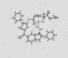 COC(=O)Cc1cc(C(=O)c2ccc3cc(-c4ccccc4)n(CCCCNC(=O)OC(C)(C)C)c3c2)sc1-c1ccccc1